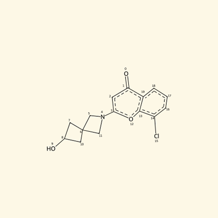 O=c1cc(N2CC3(CC(O)C3)C2)oc2c(Cl)cccc12